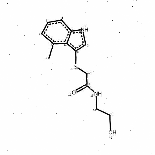 Cc1cccc2[nH]cc(SCC(=O)NCCO)c12